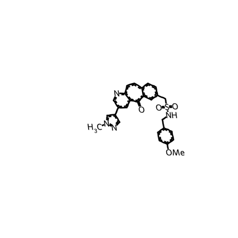 COc1ccc(CNS(=O)(=O)Cc2ccc3ccc4ncc(-c5cnn(C)c5)cc4c(=O)c3c2)cc1